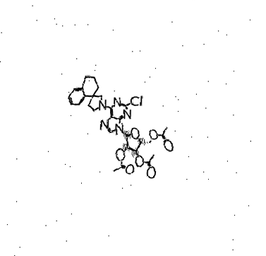 CC(=O)OC[C@H]1O[C@@H](n2cnc3c(N4CCC5(CCCc6ccccc65)C4)nc(Cl)nc32)[C@H](OC(C)=O)[C@@H]1OC(C)=O